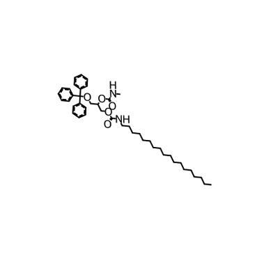 CCCCCCCCCCCCCCCCCCNC(=O)OCC(COC(c1ccccc1)(c1ccccc1)c1ccccc1)OC(=O)NC